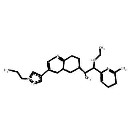 CCNC(C1=CCCC(C)=N1)C(C)C1CCC2=NC=C(c3cnn(CCN)c3)CC2C1